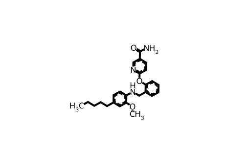 CCCCCc1ccc(NCc2ccccc2Oc2ccc(C(N)=O)cn2)c(OC)c1